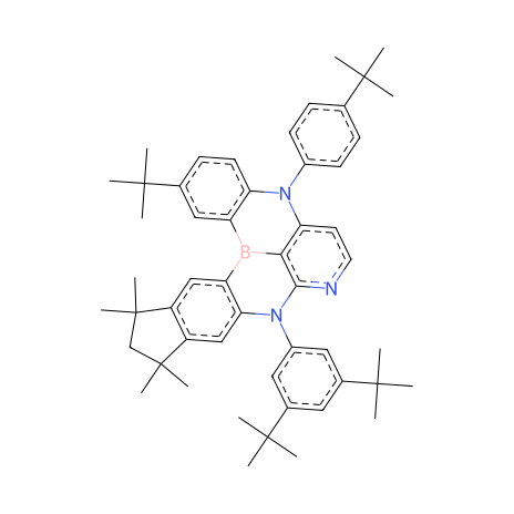 CC(C)(C)c1ccc(N2c3ccc(C(C)(C)C)cc3B3c4cc5c(cc4N(c4cc(C(C)(C)C)cc(C(C)(C)C)c4)c4nccc2c43)C(C)(C)CC5(C)C)cc1